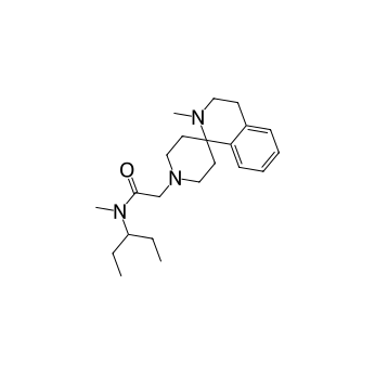 CCC(CC)N(C)C(=O)CN1CCC2(CC1)c1ccccc1CCN2C